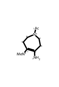 CNC1=C(N)CCN(C(C)=O)CC1